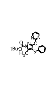 Cc1c(Sc2ccccc2)c(Oc2ncccn2)nn1C(=O)OC(C)(C)C